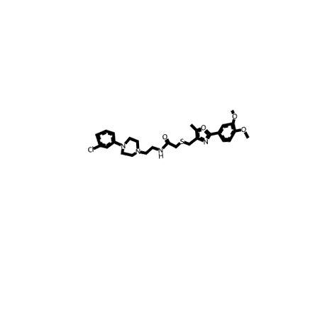 COc1ccc(-c2nc(CSCC(=O)NCCN3CCN(c4cccc(Cl)c4)CC3)c(C)o2)cc1OC